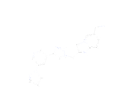 NCc1ccc2nc(Cn3cc(-c4cncc(-n5cccn5)c4)nn3)cn2c1